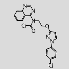 O=C(Cl)N(CCOc1ccn(-c2ccc(Cl)cc2)n1)c1ncnc2ccccc12